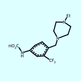 CCN1CCN(Cc2ccc(NC(=O)O)cc2C(F)(F)F)CC1